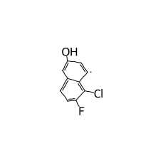 Oc1c[c]c2c(Cl)c(F)ccc2c1